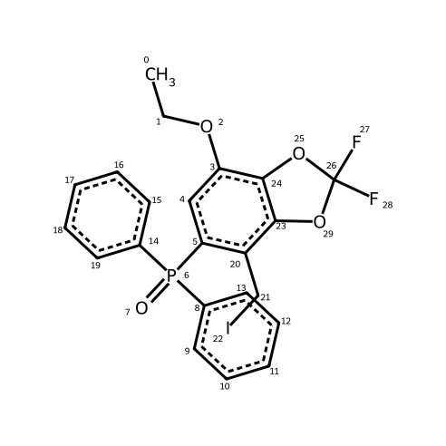 CCOc1cc(P(=O)(c2ccccc2)c2ccccc2)c(CI)c2c1OC(F)(F)O2